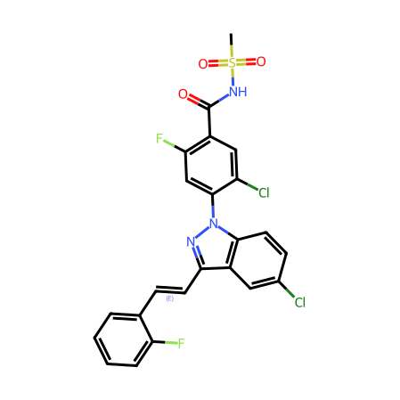 CS(=O)(=O)NC(=O)c1cc(Cl)c(-n2nc(/C=C/c3ccccc3F)c3cc(Cl)ccc32)cc1F